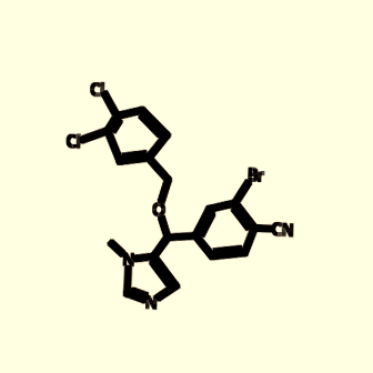 Cn1cncc1C(OCc1ccc(Cl)c(Cl)c1)c1ccc(C#N)c(Br)c1